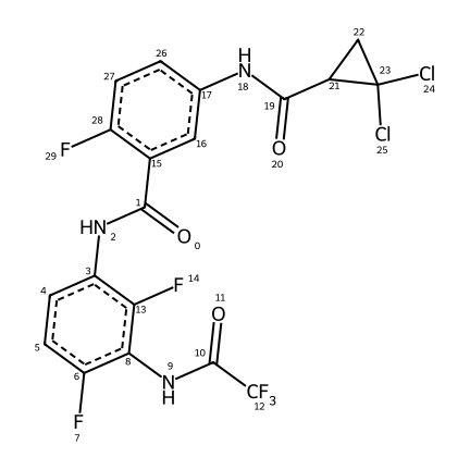 O=C(Nc1ccc(F)c(NC(=O)C(F)(F)F)c1F)c1cc(NC(=O)C2CC2(Cl)Cl)ccc1F